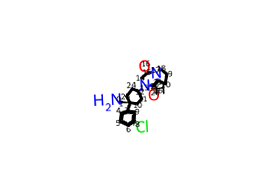 NC[C@]1(c2cccc(Cl)c2)CC[C@H](N2CC(=O)N3CCC[C@H]3C2=O)CC1